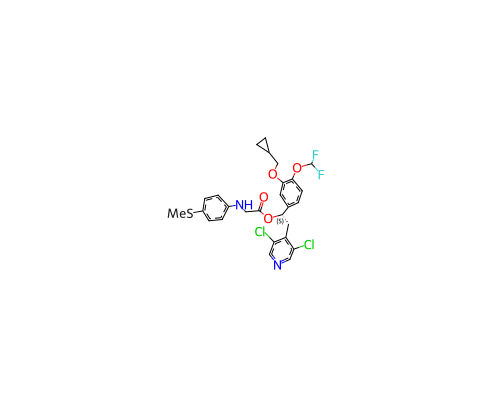 CSc1ccc(NCC(=O)O[C@@H](Cc2c(Cl)cncc2Cl)c2ccc(OC(F)F)c(OCC3CC3)c2)cc1